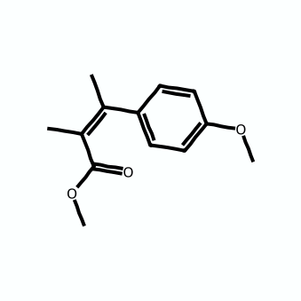 COC(=O)C(C)=C(C)c1ccc(OC)cc1